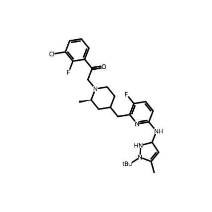 CC1=CC(Nc2ccc(F)c(CC3CCN(CC(=O)c4cccc(Cl)c4F)[C@H](C)C3)n2)NN1C(C)(C)C